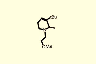 COCCN1CCC=C(C(C)(C)C)[C@H]1C